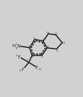 Nc1cc2c(cc1C(F)(F)F)CCCC2